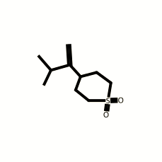 C=C(C(C)C)C1CCS(=O)(=O)CC1